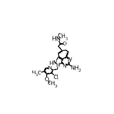 CNC(=O)CC1=CC2=c3c(nc(N)nc3=CC1)N(Cc1ncc(C)c(OC)c1Cl)N2